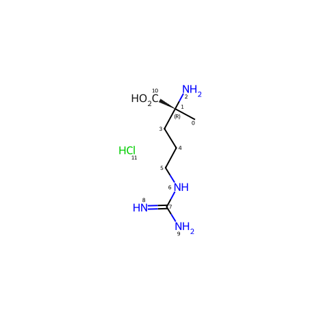 C[C@@](N)(CCCNC(=N)N)C(=O)O.Cl